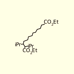 CCOC(=O)CCCCCCCCCCC(C(C)C)C(C(=O)OCC)C(C)C